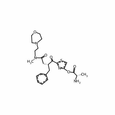 C[C@H](N)C(=O)Oc1csc(C(=O)[C@@H](CC(=O)N(C)CCN2CCOCC2)Cc2ccccc2)n1